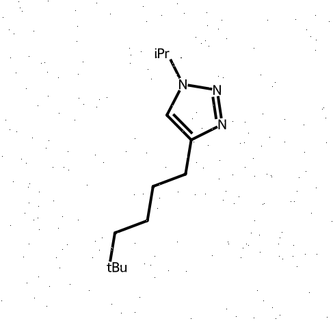 CC(C)n1cc(CCCCC(C)(C)C)nn1